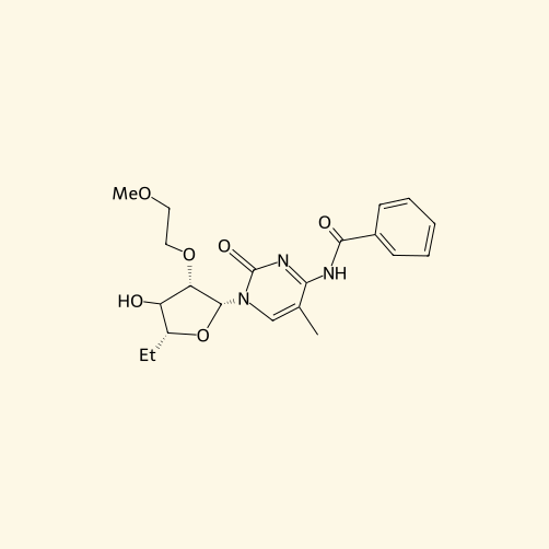 CC[C@H]1O[C@@H](n2cc(C)c(NC(=O)c3ccccc3)nc2=O)[C@@H](OCCOC)C1O